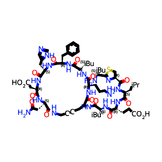 CC[C@H](C)[C@H](N)C1=N[C@H](C(=O)N[C@@H](CC(C)C)C(=O)N[C@H](CCC(=O)O)C(=O)N[C@H](C(=O)N[C@H]2CCCCNC(=O)[C@H](CC(N)=O)NC(=O)[C@@H](CC(=O)O)NC(=O)[C@H](Cc3cnc[nH]3)NC(=O)[C@@H](Cc3ccccc3)NC(=O)[C@H]([C@@H](C)CC)NC(=O)[C@@H](CCCN)NC2=O)[C@@H](C)CC)CS1